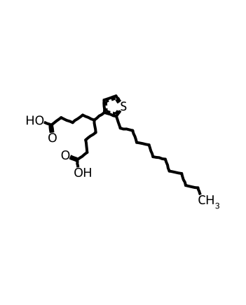 CCCCCCCCCCCc1sccc1C(CCCC(=O)O)CCCC(=O)O